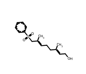 C/C(=C\CO)CC/C=C(\C)CS(=O)(=O)c1ccccc1